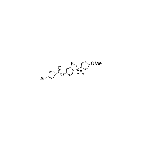 COc1ccc(C(CF)(c2ccc(OC(=O)c3ccc(C(C)=O)cc3)cc2)C(F)(F)F)cc1